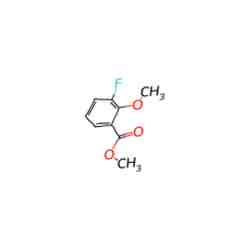 COC(=O)c1cccc(F)c1OC